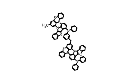 Cc1cc2c3c(c1)-n1c4c(ccc(N(c5ccccc5)c5cccc(Cc6cc7c8c(c6)-n6c9c(ccc(N(c%10ccccc%10)c%10ccccc%10)c9c9oc%10ccccc%10c96)B8c6ccccc6S7)c5)c4c4sc5ccccc5c41)B3c1ccccc1S2